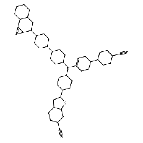 N#CC1CCC(C2CC=C(N(C3CCC(C4CCC(C5CC6CCCCC6C6=CC65)CC4)CC3)C3CCC(C4CC5CCC(C#N)CC5S4)CC3)CC2)CC1